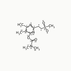 Cc1nc(CCS(C)(=O)=O)nc(OC(=O)N(C)C)c1C